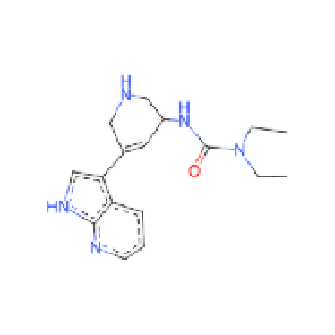 CCN(CC)C(=O)NC1C=C(c2c[nH]c3ncccc23)CNC1